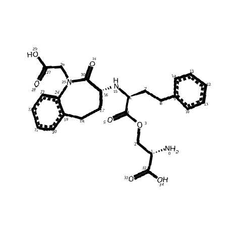 N[C@@H](COC(=O)[C@H](CCc1ccccc1)N[C@@H]1CCc2ccccc2N(CC(=O)O)C1=O)C(=O)O